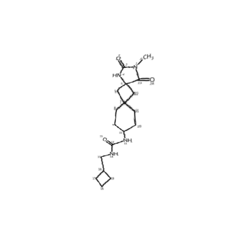 CN1C(=O)NC2(CC3(CCC(NC(=O)NCC4CCC4)CC3)C2)C1=O